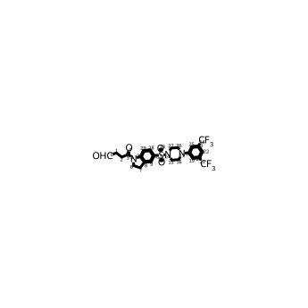 O=CCCC(=O)N1CCc2cc(S(=O)(=O)N3CCN(c4cc(C(F)(F)F)cc(C(F)(F)F)c4)CC3)ccc21